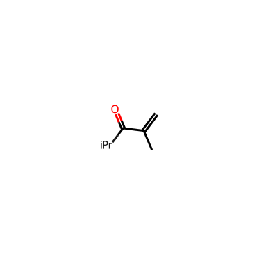 C=C(C)C(=O)C(C)C